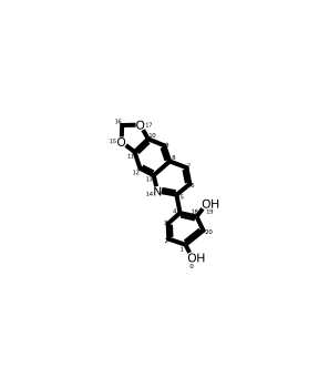 Oc1ccc(-c2ccc3cc4c(cc3n2)OCO4)c(O)c1